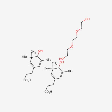 CC(C)(C)C1=CC(CCC(=O)O)=CC(C)(C(C)(C)C)C1O.CC(C)(C)C1=CC(CCC(=O)O)=CC(C)(C(C)(C)C)C1O.OCCOCCOCCO